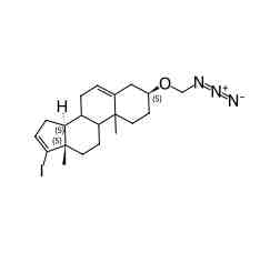 CC12CC[C@H](OCN=[N+]=[N-])CC1=CCC1C2CC[C@]2(C)C(I)=CC[C@@H]12